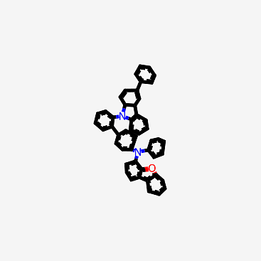 C1=CC2C(C=C1c1ccccc1)c1ccccc1N2c1ccccc1-c1ccc(N(c2ccccc2)c2cccc3c2oc2ccccc23)cc1